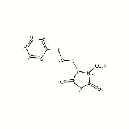 O=C1OC(=O)N(C(=O)O)[C@H]1COCc1ccccc1